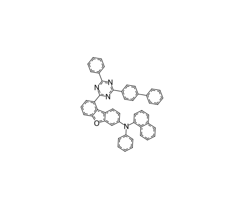 c1ccc(-c2ccc(-c3nc(-c4ccccc4)nc(-c4cccc5oc6cc(N(c7ccccc7)c7cccc8ccccc78)ccc6c45)n3)cc2)cc1